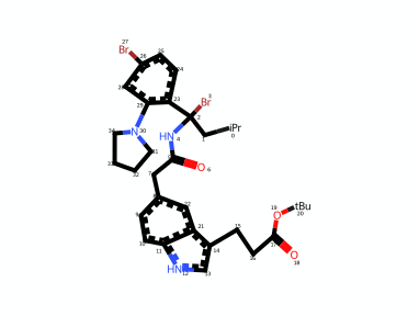 CC(C)CC(Br)(NC(=O)Cc1ccc2[nH]cc(CCC(=O)OC(C)(C)C)c2c1)c1ccc(Br)cc1N1CCCC1